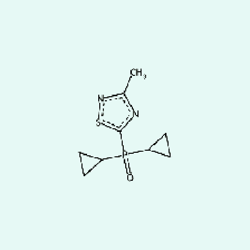 Cc1nsc(P(=O)(C2CC2)C2CC2)n1